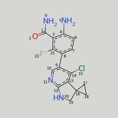 NC(=O)c1c(N)ccc(-c2cnc3c(c2Cl)C2(CC2)CN3)c1F